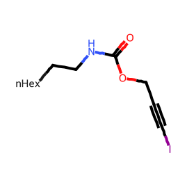 CCCCCCCCNC(=O)OCC#CI